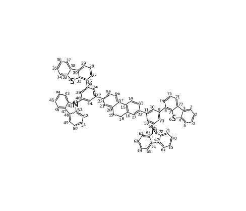 c1ccc2c(c1)sc1c(-c3cc(-c4ccc5c(c4)CCc4cc(-c6cc(-c7cccc8c7sc7ccccc78)cc(-n7c8ccccc8c8ccccc87)c6)ccc4-5)cc(-n4c5ccccc5c5ccccc54)c3)cccc12